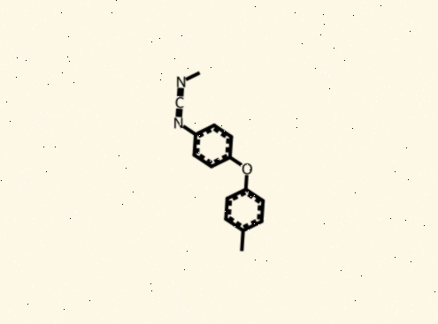 CN=C=Nc1ccc(Oc2ccc(C)cc2)cc1